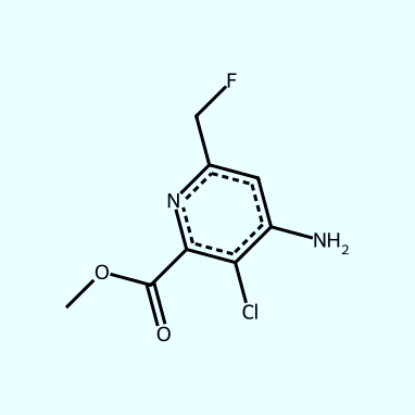 COC(=O)c1nc(CF)cc(N)c1Cl